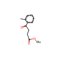 Cc1ccccc1C(=O)CCC(=O)OC(C)(C)C